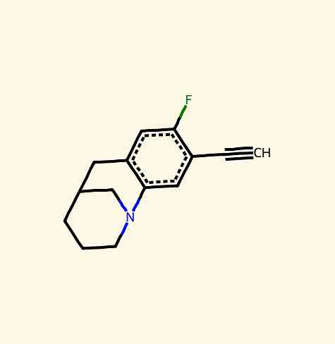 C#Cc1cc2c(cc1F)CC1CCCN2C1